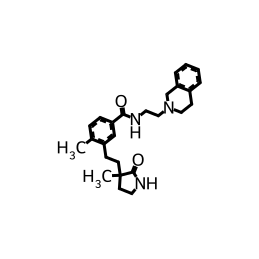 Cc1ccc(C(=O)NCCN2CCc3ccccc3C2)cc1CCC1(C)CCNC1=O